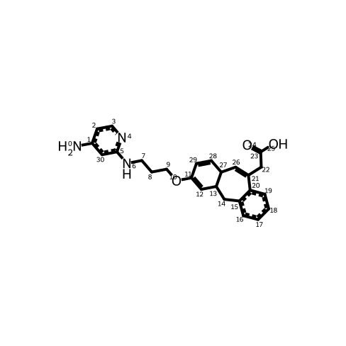 Nc1ccnc(NCCCOC2=CC3Cc4ccccc4C(CC(=O)O)=CC3C=C2)c1